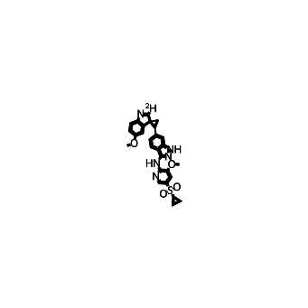 [2H]C1=Nc2ccc(OC)cc2[C@]12C[C@H]2c1ccc2c(Nc3ncc(S(=O)(=O)C4CC4)cc3OC)n[nH]c2c1